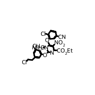 CCOC(=O)C1=NC(Oc2cc(C)cc(CCCl)c2)N(OC)C(Oc2cc(C#N)ccc2Cl)=C1[N+](=O)[O-]